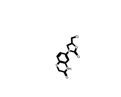 O=C1CSc2ccc(N3CC(CCl)OC3=O)cc2N1